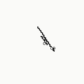 C=CC(=O)OCCCCCCCCCCCCCCCCCCC.C=CCOCOC(=O)C=C